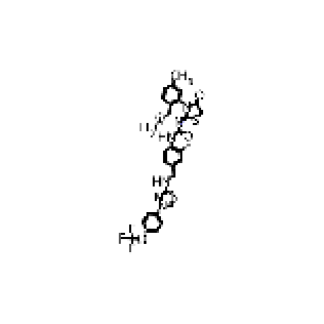 COCc1ccc(C)cc1N1C(=O)CS/C1=N\C(=O)Nc1ccc(CNc2ncn(-c3ccc(OC(F)(F)F)cc3)n2)cc1F